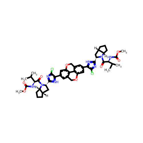 COC(=O)N[C@H](C(=O)N1[C@H](c2nc(Cl)c(-c3cc4c5c(c3)OCc3cc(-c6[nH]c([C@@H]7C[C@@H]8CCC[C@@H]8N7C(=O)[C@@H](NC(=O)OC)C(C)C)nc6Cl)cc(c3-5)OC4)[nH]2)C[C@@H]2CCC[C@@H]21)C(C)C